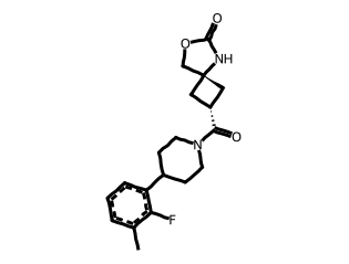 Cc1cccc(C2CCN(C(=O)[C@H]3C[C@]4(COC(=O)N4)C3)CC2)c1F